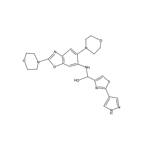 OC(Nc1cc2oc(N3CCOCC3)nc2cc1N1CCOCC1)c1csc(-c2cn[nH]c2)n1